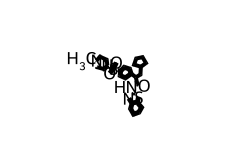 CN1CCN(S(=O)(=O)c2ccc(C(CC3CCCC3)C(=O)Nc3nc4ccccc4s3)cc2)CC1